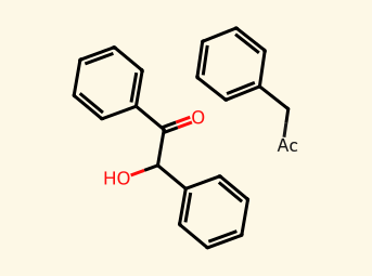 CC(=O)Cc1ccccc1.O=C(c1ccccc1)C(O)c1ccccc1